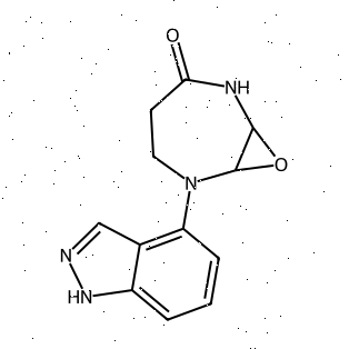 O=C1CCN(c2cccc3[nH]ncc23)C2OC2N1